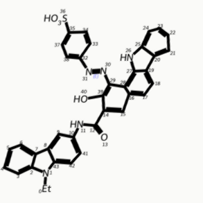 CCn1c2ccccc2c2cc(NC(=O)c3cc4ccc5c6ccccc6[nH]c5c4c(/N=N/c4ccc(S(=O)(=O)O)cc4)c3O)ccc21